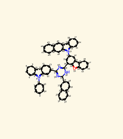 c1ccc(-n2c3ccccc3c3ccc(C4=NC(c5ccc6ccccc6c5)NC(c5cc(-n6c7ccccc7c7cc8ccccc8cc76)cc6c5oc5ccccc56)=N4)cc32)cc1